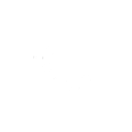 OB(c1ccccc1)c1ccc(COCc2ccc(B(O)c3ccccc3)cc2)cc1